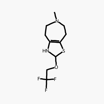 CN1CCC2=C(CC1)SC(OCC(F)(F)F)N2